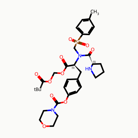 Cc1ccc(S(=O)(=O)CN(C(=O)[C@@H]2CCCN2)[C@@H](Cc2ccc(OC(=O)N3CCOCC3)cc2)C(=O)OCOC(=O)C(C)(C)C)cc1